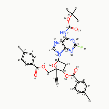 C#CC1(COC(=O)c2ccc(C)cc2)OC(n2cnc3c(NC(=O)OC(C)(C)C)nc(F)nc32)CC1OC(=O)c1ccc(C)cc1